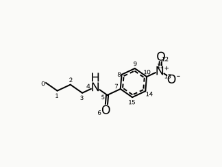 CCCCNC(=O)c1ccc([N+](=O)[O-])cc1